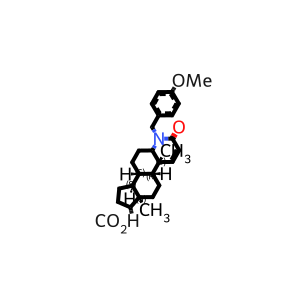 COc1ccc(CN2C(=O)C=C[C@@]3(C)C2CC[C@@H]2[C@H]3CC[C@]3(C)C(C(=O)O)CC[C@@H]23)cc1